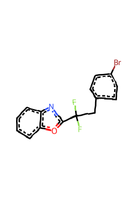 FC(F)(Cc1ccc(Br)cc1)c1nc2ccccc2o1